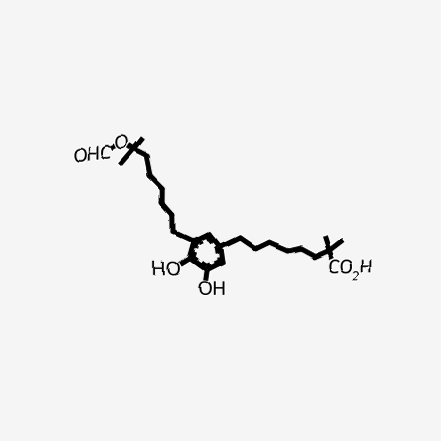 CC(C)(CCCCCCc1cc(CCCCCCC(C)(C)C(=O)O)cc(O)c1O)OC=O